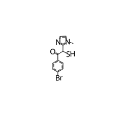 Cn1ccnc1C(S)C(=O)c1ccc(Br)cc1